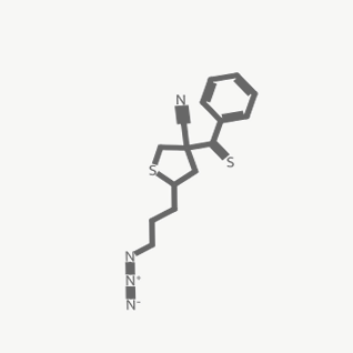 N#CC1(C(=S)c2ccccc2)CSC(CCCN=[N+]=[N-])C1